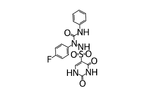 O=C(Nc1ccccc1)N(NS(=O)(=O)c1c[nH]c(=O)[nH]c1=O)c1ccc(F)cc1